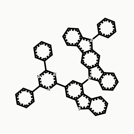 c1ccc(-c2nc(-c3ccccc3)nc(-c3cc(-n4c5ccccc5c5cc6c(cc54)c4ccccc4n6-c4ccccc4)c4c(c3)sc3ccccc34)n2)cc1